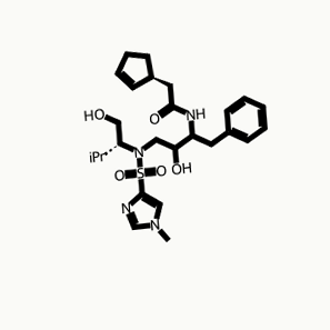 CC(C)[C@H](CO)N(CC(O)C(Cc1ccccc1)NC(=O)C[C@H]1C=CCC1)S(=O)(=O)c1cn(C)cn1